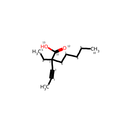 CC#CC(CC)(CCCCC)C(=O)O